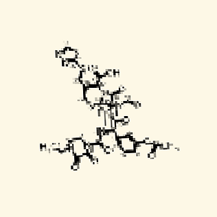 CCN1CCN(C(=O)NC(C(=O)N[C@]2(NC=O)C(=O)N3C(C(=O)O)=C(CSc4nncs4)CS[C@H]32)c2cccc(OC(C)=O)c2)C(=O)C1=O